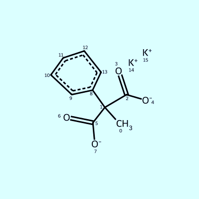 CC(C(=O)[O-])(C(=O)[O-])c1ccccc1.[K+].[K+]